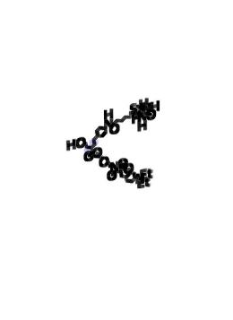 CCN(CC)c1ccc2cc(C(=O)NCCOCCOC(=O)C(/C=C/c3ccc(NC(=O)CCCC[C@@H]4SC[C@@H]5NC(=O)N[C@@H]54)cc3)=C/CO)c(=O)oc2c1